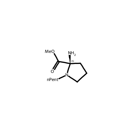 CCCCCN1CCC[C@@]1(N)C(=O)OC